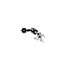 CC(C)(C)OC(=O)N1CCC2(CC1)CC(C#Cc1ccccc1)=NO2